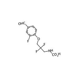 O=Cc1ccc(OCC(F)(F)CNC(=O)O)c(F)c1